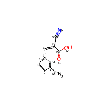 Cc1cccc(C=C(C#N)C(=O)O)c1